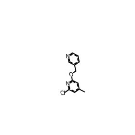 Cc1cc(Cl)nc(OCc2cccnc2)c1